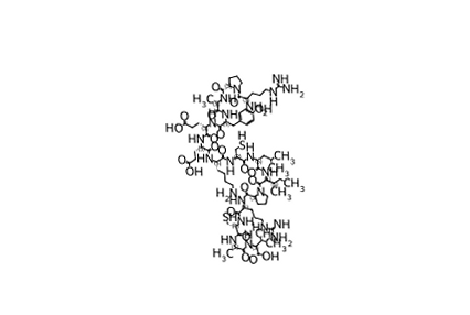 CC[C@H](C)[C@H](NC(=O)[C@H](CC(C)C)NC(=O)[C@H](CS)NC(=O)[C@H](CCCCN)NC(=O)[C@H](CCC(=O)O)NC(=O)[C@H](CCC(=O)O)NC(=O)[C@H](Cc1ccc(O)cc1)NC(=O)[C@H](C)NC(=O)[C@@H]1CCCN1C(=O)[C@@H](N)CCCNC(=N)N)C(=O)N1CCC[C@H]1C(=O)N[C@@H](CCCNC(=N)N)C(=O)N[C@@H](CS)C(=O)N[C@@H](C)C(=O)N[C@H](C(=O)O)C(C)C